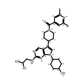 CCC(CC)CNc1ncc2c(C3CCN(C(=O)c4cc(C)nc(C)c4)CC3)cn(C3CCC(O)CC3)c2n1